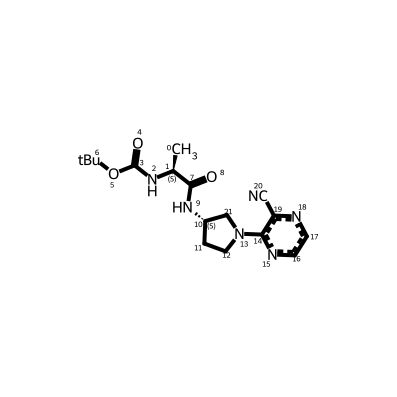 C[C@H](NC(=O)OC(C)(C)C)C(=O)N[C@H]1CCN(c2nccnc2C#N)C1